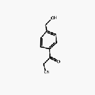 N#CCC(=O)c1ccc(CO)cc1